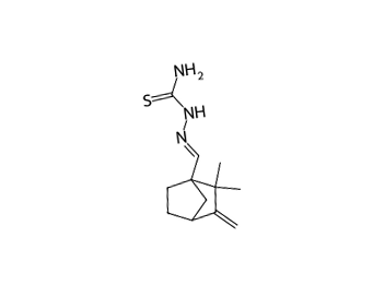 C=C1C2CCC(C=NNC(N)=S)(C2)C1(C)C